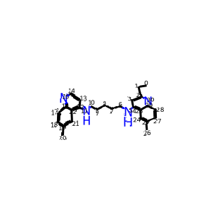 CCc1cc(NCCCCCNc2ccnc3ccc(C)cc23)c2cc(C)ccc2n1